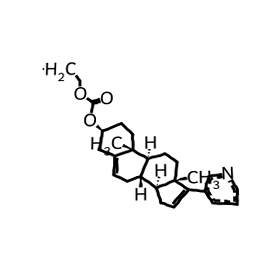 [CH2]COC(=O)O[C@H]1CC[C@@]2(C)C(=CC[C@@H]3[C@@H]2CC[C@]2(C)C(c4cccnc4)=CC[C@@H]32)C1